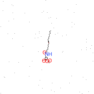 CCCCCCCCC#CCCCCCCCC(=O)NCc1ccc(OC(C)=O)c(OC)c1